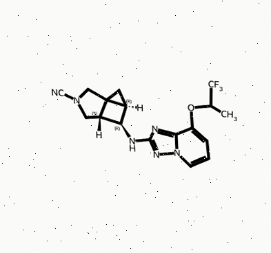 CC(Oc1cccn2nc(N[C@H]3[C@@H]4CN(C#N)CC45C[C@@H]35)nc12)C(F)(F)F